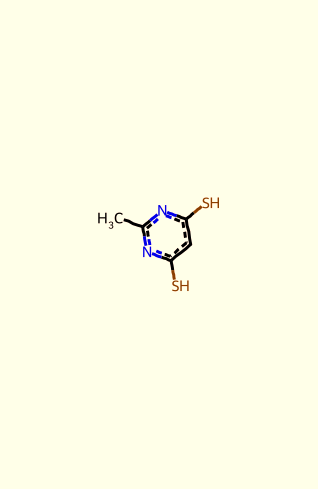 Cc1nc(S)cc(S)n1